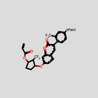 C=CC(=O)OC1CCC(Oc2ccc3cc(-c4ccc(CCCCC)cc4C(F)(F)F)c(=O)oc3c2)C1C(F)(F)F